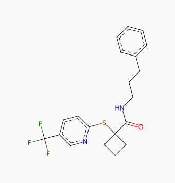 O=C(NCCCc1ccccc1)C1(Sc2ccc(C(F)(F)F)cn2)CCC1